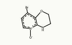 [O-][n+]1ccc(Br)c2c1NCCO2